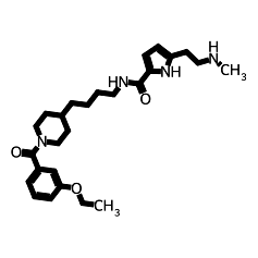 CCOc1cccc(C(=O)N2CCC(CCCCNC(=O)c3ccc(CCNC)[nH]3)CC2)c1